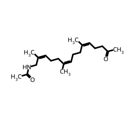 CC(=O)CCC=C(C)CCC=C(C)CCC=C(C)CNC(C)=O